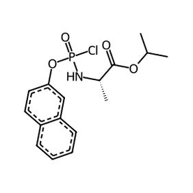 CC(C)OC(=O)[C@H](C)NP(=O)(Cl)Oc1ccc2ccccc2c1